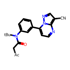 CC(=O)CC(=O)N(c1cccc(-c2ccnc3c(C#N)cnn23)c1)C(C)(C)C